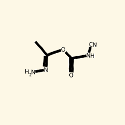 CC(=NN)OC(=O)NC#N